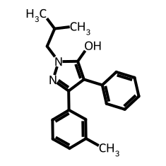 Cc1cccc(-c2nn(CC(C)C)c(O)c2-c2ccccc2)c1